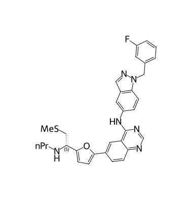 CCCN[C@H](CSC)c1ccc(-c2ccc3ncnc(Nc4ccc5c(cnn5Cc5cccc(F)c5)c4)c3c2)o1